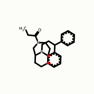 CCC(=O)N1CCC2CCCC(C1)N2CCC(c1ccccc1)c1ccccc1